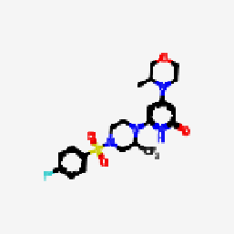 CC1COCCN1c1cc(N2CCN(S(=O)(=O)c3ccc(F)cc3)CC2C(F)(F)F)[nH]c(=O)c1